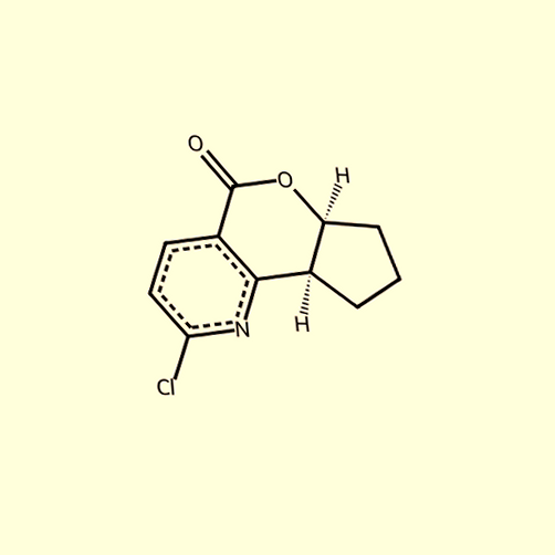 O=C1O[C@H]2CCC[C@H]2c2nc(Cl)ccc21